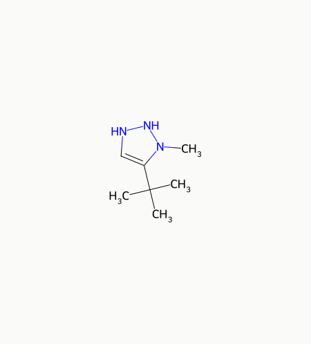 CN1NNC=C1C(C)(C)C